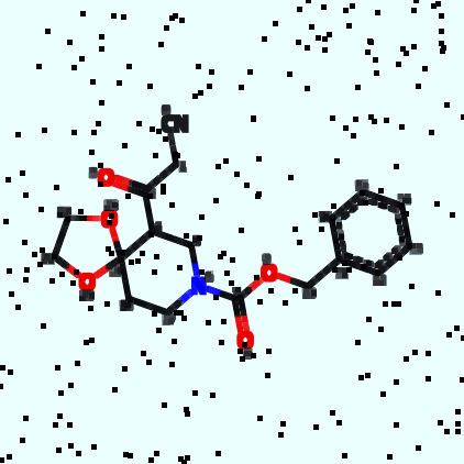 N#CCC(=O)C1CN(C(=O)OCc2ccccc2)CCC12OCCO2